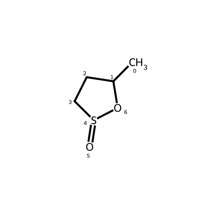 CC1CCS(=O)O1